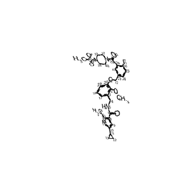 COc1c(CNC(=O)c2cc(C3CC3)nn2C)cccc1OCc1ccc(F)c(C(=O)N2CCN(S(C)(=O)=O)CC2)c1